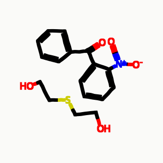 O=C(c1ccccc1)c1ccccc1[N+](=O)[O-].OCCSCCO